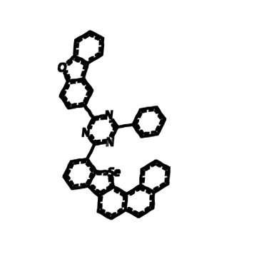 c1ccc(-c2nc(-c3ccc4oc5ccccc5c4c3)nc(-c3cccc4c3[se]c3c4ccc4ccc5ccccc5c43)n2)cc1